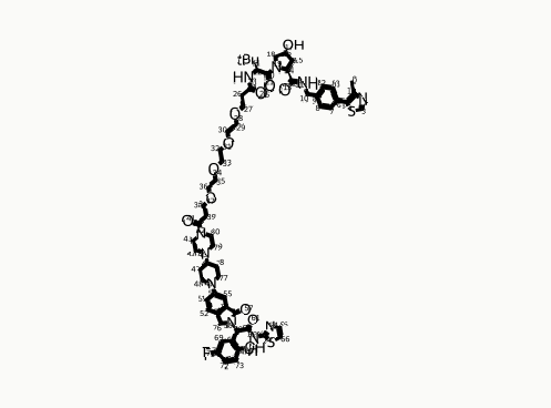 Cc1ncsc1-c1ccc(CNC(=O)[C@@H]2C[C@@H](O)CN2C(=O)[C@@H](NC(=O)CCOCCOCCOCCOCCC(=O)N2CCN(C3CCN(c4ccc5c(c4)C(=O)N(C(C(=O)Nc4nccs4)c4cc(F)ccc4O)C5)CC3)CC2)C(C)(C)C)cc1